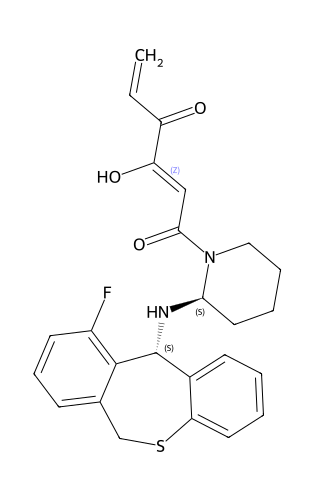 C=CC(=O)/C(O)=C/C(=O)N1CCCC[C@H]1N[C@@H]1c2ccccc2SCc2cccc(F)c21